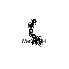 COCCC1(Oc2ccc(Oc3ccc(-c4noc(-c5ncccn5)n4)cc3)cc2)C(=O)NC(=O)NC1=O